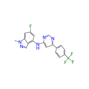 Cn1ncc2c(Nc3cc(-c4ccc(C(F)(F)F)cc4)ncn3)cc(F)cc21